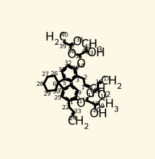 C=CCc1cc(C2(c3ccc(OC(OC(=O)C=C)C(C)O)c(CC=C)c3)CCCCC2)ccc1OC(OC(=O)C=C)C(C)O